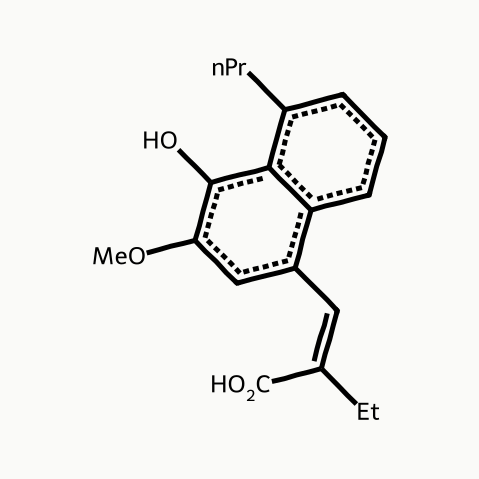 CCCc1cccc2c(C=C(CC)C(=O)O)cc(OC)c(O)c12